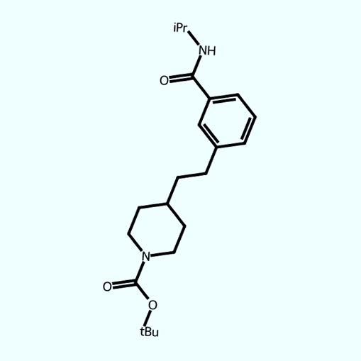 CC(C)NC(=O)c1cccc(CCC2CCN(C(=O)OC(C)(C)C)CC2)c1